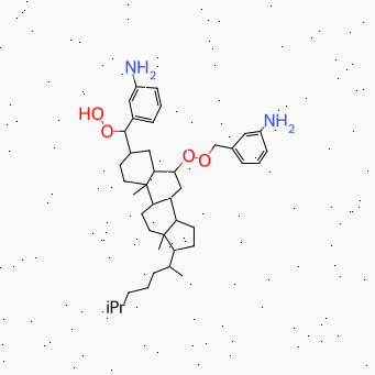 CC(C)CCCC(C)C1CCC2C3CC(OOCc4cccc(N)c4)C4CC(C(OO)c5cccc(N)c5)CCC4(C)C3CCC12C